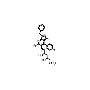 Cc1nn(Cc2ccccc2)c2nc(C(C)C)c(/C=C/C(O)CC(O)CC(=O)O)c(-c3ccc(F)cc3)c12